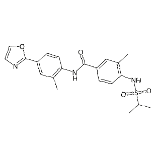 Cc1cc(-c2ncco2)ccc1NC(=O)c1ccc(NS(=O)(=O)C(C)C)c(C)c1